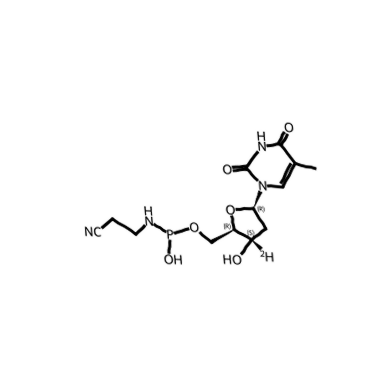 [2H][C@]1(O)C[C@H](n2cc(C)c(=O)[nH]c2=O)O[C@@H]1COP(O)NCCC#N